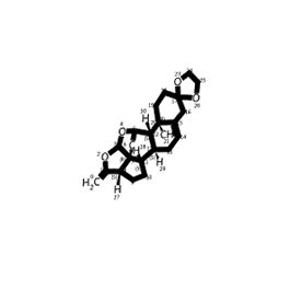 C=C1OC2OC3C[C@@]24[C@@H]1CC[C@H]4[C@@H]1CC=C2CC4(CC[C@]2(C)[C@@H]31)OCCO4